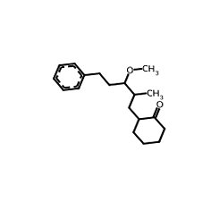 COC(CCc1ccccc1)C(C)CC1CCCCC1=O